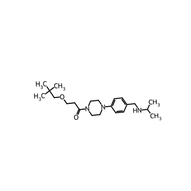 CC(C)NCc1ccc(N2CCN(C(=O)CCOCC(C)(C)C)CC2)cc1